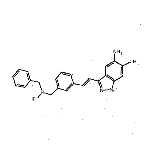 Cc1cc2[nH]nc(/C=C/c3cccc(CN(Cc4ccccc4)C(C)C)c3)c2cc1N